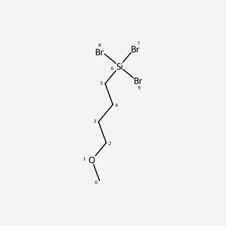 COCCCC[Si](Br)(Br)Br